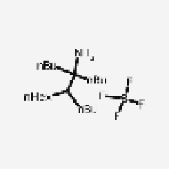 CCCCCCC(CCCC)C([NH3+])(CCCC)CCCC.F[B-](F)(F)F